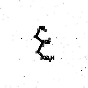 Br.O=C(O)CCCP